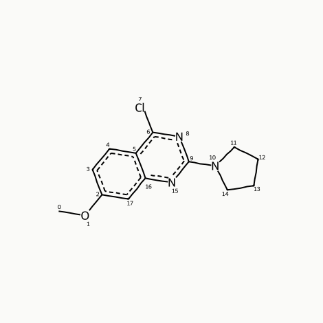 COc1ccc2c(Cl)nc(N3CCCC3)nc2c1